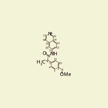 COCc1ccc(C(C)C(=O)Nc2ccc3cnccc3c2)cc1